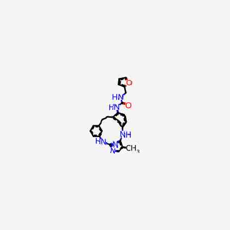 Cc1cnc2nc1Nc1ccc(NC(=O)NCc3ccco3)c(c1)CCc1cccc(c1)N2